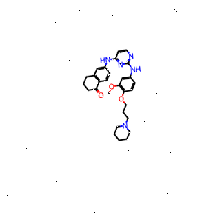 COc1cc(Nc2nccc(Nc3ccc4c(c3)CCCC4=O)n2)ccc1OCCCN1CCCCC1